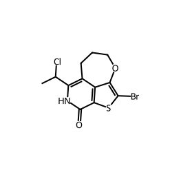 CC(Cl)c1[nH]c(=O)c2sc(Br)c3c2c1CCCO3